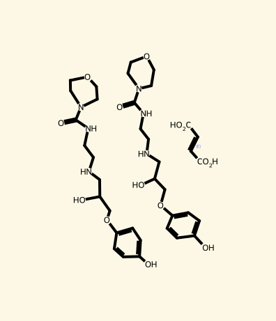 O=C(NCCNCC(O)COc1ccc(O)cc1)N1CCOCC1.O=C(NCCNCC(O)COc1ccc(O)cc1)N1CCOCC1.O=C(O)/C=C/C(=O)O